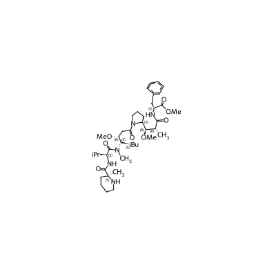 CC[C@H](C)[C@@H]([C@@H](CC(=O)N1CCC[C@H]1[C@H](OC)[C@@H](C)C(=O)N[C@@H](Cc1ccccc1)C(=O)OC)OC)N(C)C(=O)[C@@H](NC(=O)[C@]1(C)CCCCN1)C(C)C